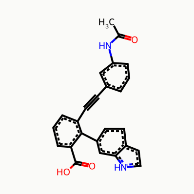 CC(=O)Nc1cccc(C#Cc2cccc(C(=O)O)c2-c2ccc3cc[nH]c3c2)c1